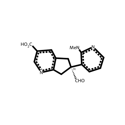 CNc1ncccc1[C@]1(C=O)Cc2cc(C(=O)O)cnc2C1